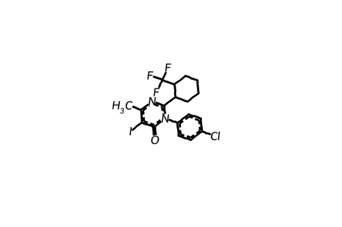 Cc1nc(C2CCCCC2C(F)(F)F)n(-c2ccc(Cl)cc2)c(=O)c1I